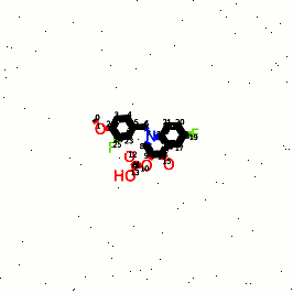 COc1ccc(Cn2cc(OC(=O)O)c(=O)c3cc(F)ccc32)cc1F